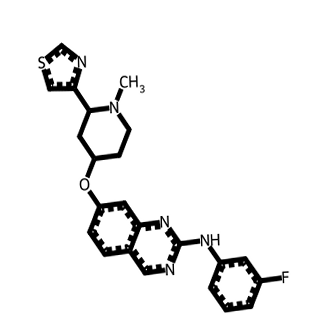 CN1CCC(Oc2ccc3cnc(Nc4cccc(F)c4)nc3c2)CC1c1cscn1